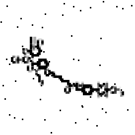 Cc1nnc(-c2ccc(CNC(=O)CCCCCOc3cccc(C(=O)N(C=O)C4CCC(=O)NC4=O)c3C)cc2)nn1